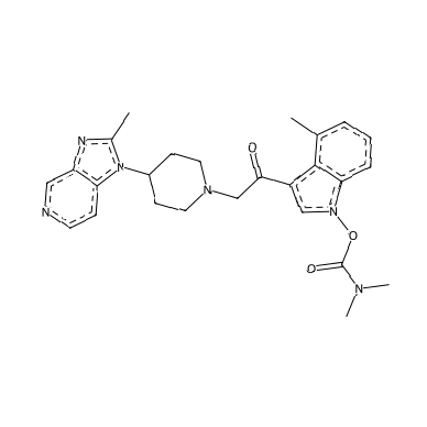 Cc1cccc2c1c(C(=O)CN1CCC(n3c(C)nc4cnccc43)CC1)cn2OC(=O)N(C)C